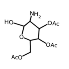 CC(=O)OCC1OC(O)C(N)C(OC(C)=O)C1OC(C)=O